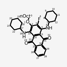 CCCCCCCCOc1c(F)c(NC2CCCCC2)c2c(c1NC1CCCCC1)C(=O)c1ccccc1C2=O